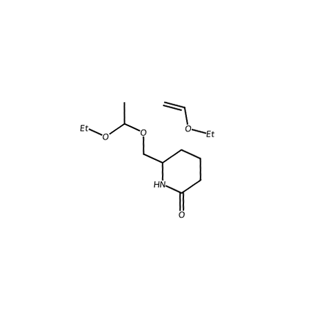 C=COCC.CCOC(C)OCC1CCCC(=O)N1